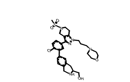 CS(=O)(=O)N1CCc2c(c(-c3ccc(Cl)c(-c4ccc5c(c4)CC(CO)NC5)c3)nn2CCCN2CCOCC2)C1